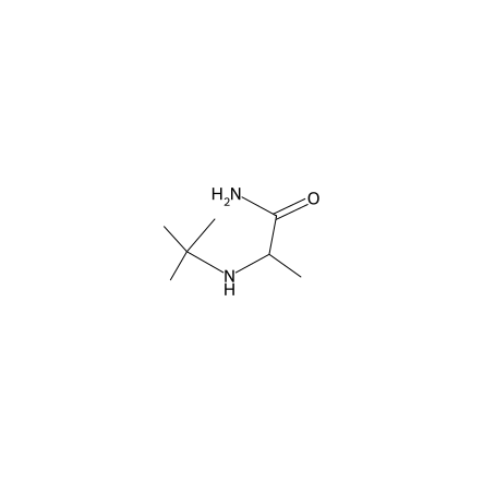 CC(NC(C)(C)C)C(N)=O